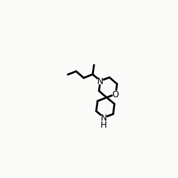 CCCC(C)N1CCOC2(CCNCC2)C1